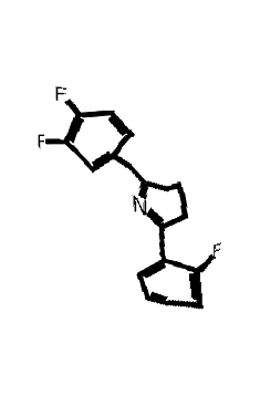 Fc1ccc(C2CCC(c3ccccc3F)=N2)cc1F